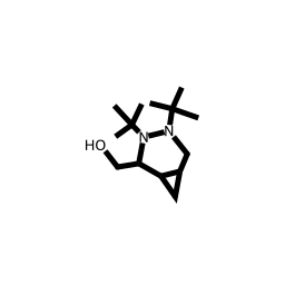 CC(C)(C)N1CC2CC2C(CO)N1C(C)(C)C